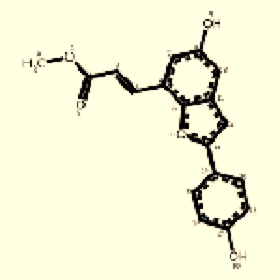 COC(=O)C=Cc1cc(O)cc2cc(-c3ccc(O)cc3)oc12